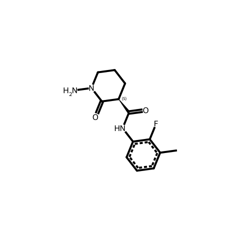 Cc1cccc(NC(=O)[C@@H]2CCCN(N)C2=O)c1F